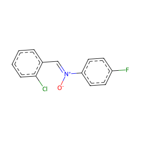 [O-][N+](=Cc1ccccc1Cl)c1ccc(F)cc1